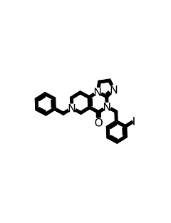 O=C1C2=C(CCN(Cc3ccccc3)C2)N2CCN=C2N1Cc1ccccc1I